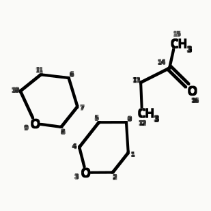 C1CCOCC1.C1CCOCC1.CCC(C)=O